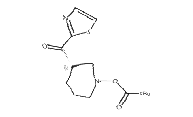 CC(C)(C)C(=O)ON1CCC[C@H](C(=O)c2nccs2)C1